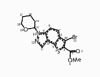 COC(=O)c1sc2c(ccc3c2cnn3C2CCCCO2)c1Br